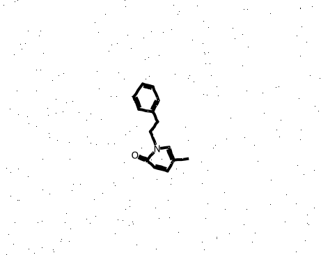 Cc1ccc(=O)n(CCc2ccccc2)c1